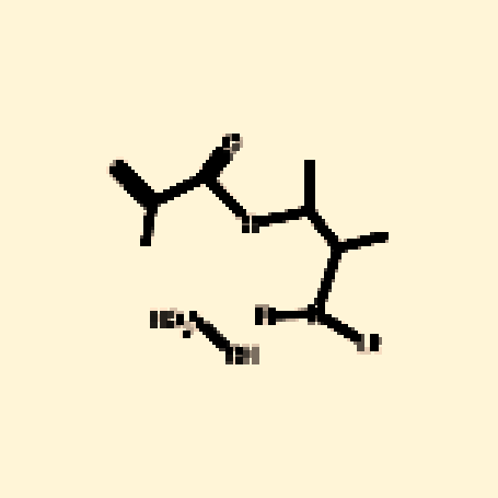 C=C(C)C(=O)OC(C)C(C)N(CC)CC.O=S(=O)(O)O